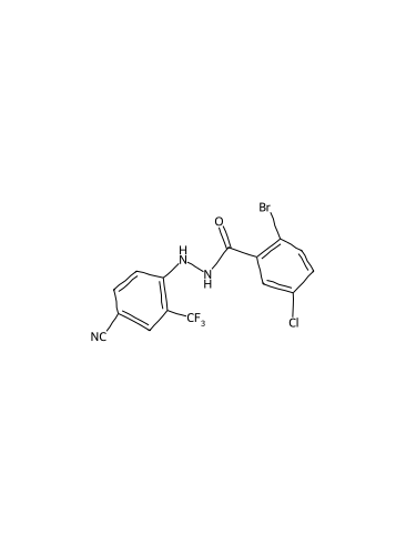 N#Cc1ccc(NNC(=O)c2cc(Cl)ccc2Br)c(C(F)(F)F)c1